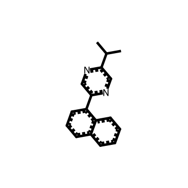 CC(C)c1cnc(-c2cccc3ccccc23)cn1